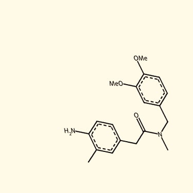 COc1ccc(CN(C)C(=O)Cc2ccc(N)c(C)c2)cc1OC